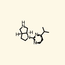 CC(C)c1ccnc(N2CC[C@@H]3CNC[C@H]32)n1